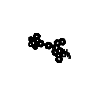 CC1(C)c2cc(N(c3ccc(-c4ccc5c(c4)-c4ccccc4C54c5ccccc5Oc5ccccc54)cc3)c3ccc4ccccc4c3C3C=CC=CC3)ccc2C2C=CC=CC21